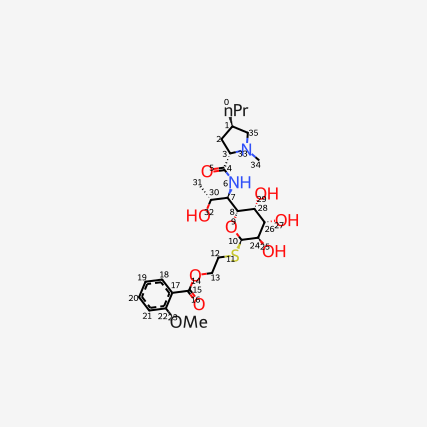 CCC[C@@H]1C[C@@H](C(=O)N[C@@H]([C@H]2O[C@H](SCCOC(=O)c3ccccc3OC)[C@H](O)[C@@H](O)[C@H]2O)[C@@H](C)O)N(C)C1